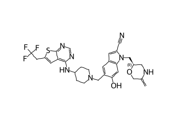 C=C1CO[C@@H](Cn2c(C#N)cc3cc(CN4CCC(Nc5ncnc6sc(CC(F)(F)F)cc56)CC4)c(O)cc32)CN1